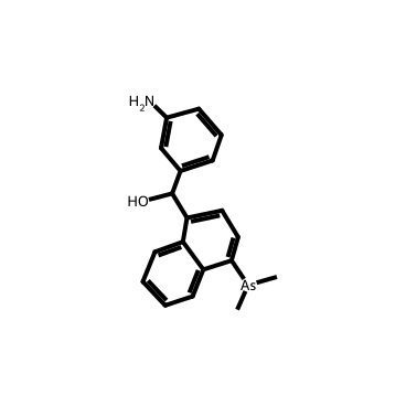 C[As](C)c1ccc(C(O)c2cccc(N)c2)c2ccccc12